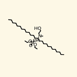 CCCCCCCCCCCCCC(CCCCCCCCCCCC)N(C)CCO.CCOP(=O)(O)OCC